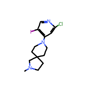 CN1CCC2(CCN(c3cc(Cl)ncc3I)CC2)C1